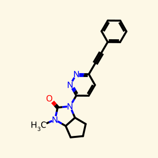 CN1C(=O)N(c2ccc(C#Cc3ccccc3)nn2)C2CCCC21